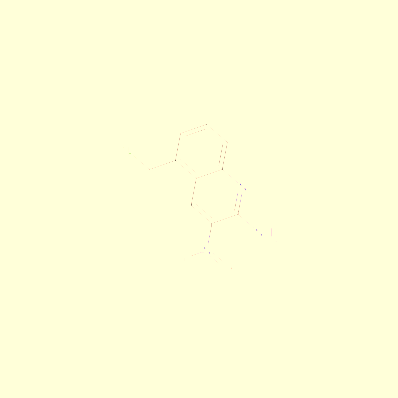 Nc1nc2cccc(CCl)c2cc1[N+](=O)[O-]